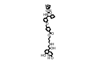 O=C(NC(c1ccccc1)c1cccc(OCc2ccc(C(=O)OCCCCNC[C@@H](O)c3ccc(O)c4[nH]c(=O)ccc34)cc2)c1)O[C@H]1CN2CCC1CC2